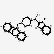 Cn1c([C@H](O)C2CCN(CC34CC(c5ccccc53)c3ccccc34)CC2)nc2ccccc21